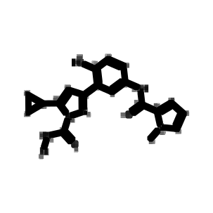 CCNC(=O)n1nc(-c2cc(NC(=O)c3cccn3C)ccc2O)cc1C1CC1